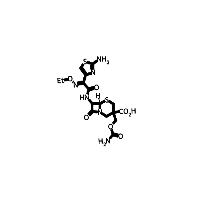 CCON=C(C(=O)NC1C(=O)N2CC(COC(N)=O)(C(=O)O)CS[C@H]12)c1csc(N)n1